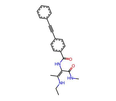 CCN/C(C)=C(/NC(=O)c1ccc(C#Cc2ccccc2)cc1)C(=O)NC